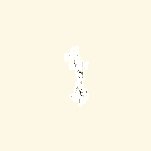 O=C(Nc1ccc(Cl)c(Cl)c1)c1ccc(N2CCN(C(=O)c3ccccc3C(F)(F)F)CC2)nn1